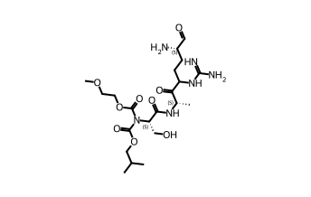 COCCOC(=O)N(C(=O)OCC(C)C)[C@@H](CO)C(=O)N[C@@H](C)C(=O)C(CC[C@H](N)C=O)NC(=N)N